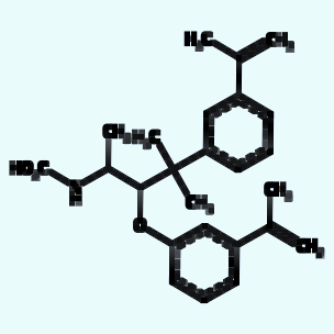 C=C(C)c1cccc(OC(C(C)NC(=O)O)C(C)(C)c2cccc(C(=C)C)c2)c1